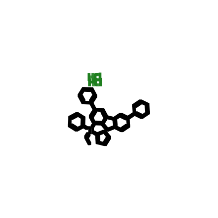 C[CH]=[Ti]([C]1=CC=CC1)([c]1ccccc1)[c]1cc(-c2ccccc2)cc2c1Cc1ccc(-c3ccccc3)cc1-2.Cl.Cl